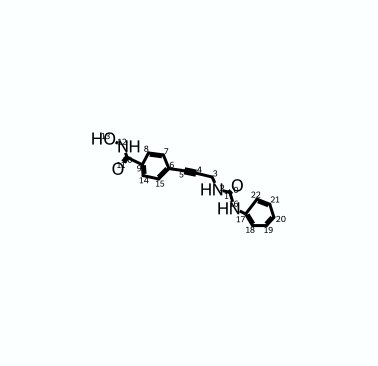 O=C(NCC#Cc1ccc(C(=O)NO)cc1)Nc1ccccc1